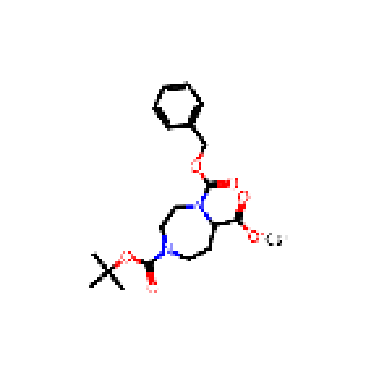 CC(C)(C)OC(=O)N1CCC(C(=O)[O-])N(C(=O)OCc2ccccc2)CC1.[Cs+]